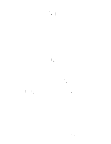 Cc1ccc2c(N)c(C(=O)Nc3ccc4cc[nH]c4c3)nnc2c1